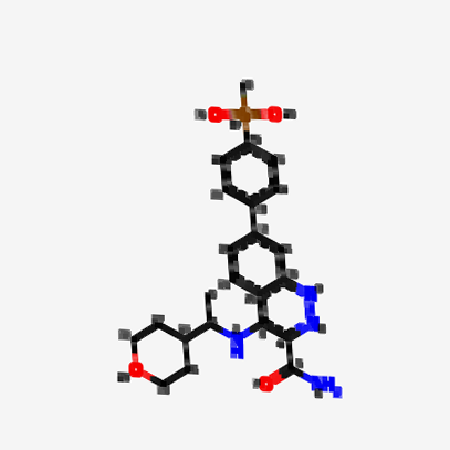 CC(Nc1c(C(N)=O)nnc2cc(-c3ccc(S(C)(=O)=O)cc3)ccc12)C1CCOCC1